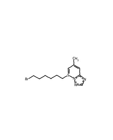 CC1=Cc2ncnn2S(CCCCCCBr)=C1